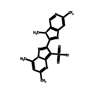 CCS(=O)(=O)c1c(-c2nc3cc(C(F)(F)F)ncc3n2C)nn2c(C)cc(C)nc12